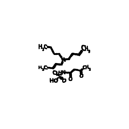 CC(=O)CC(=O)NS(=O)(=O)O.CCCCN(CCCC)CCCC